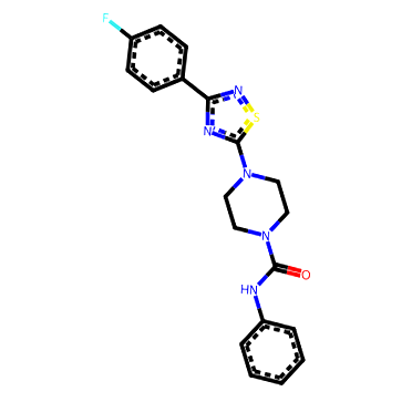 O=C(Nc1ccccc1)N1CCN(c2nc(-c3ccc(F)cc3)ns2)CC1